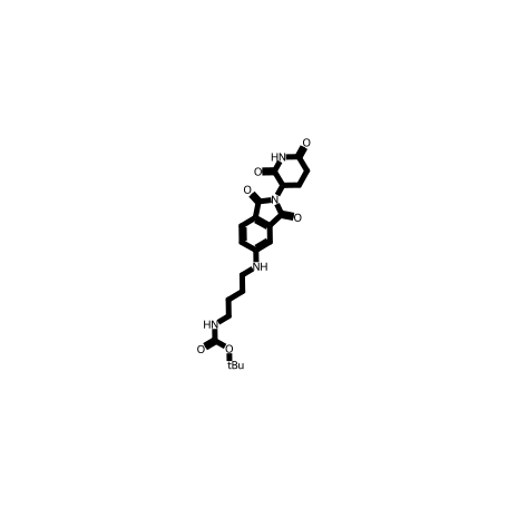 CC(C)(C)OC(=O)NCCCCNc1ccc2c(c1)C(=O)N(C1CCC(=O)NC1=O)C2=O